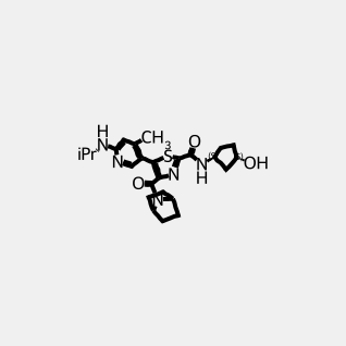 Cc1cc(NC(C)C)ncc1-c1sc(C(=O)N[C@H]2CC[C@H](O)C2)nc1C(=O)N1C2CCC1CC2